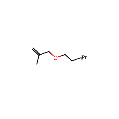 C=C(C)COCCC(C)C